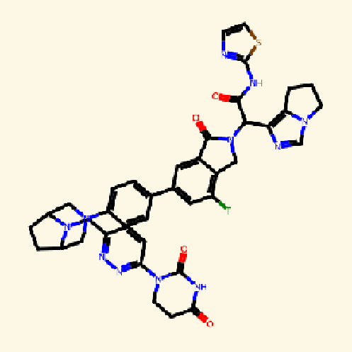 O=C1CCN(c2ccc(CN3C4CCC3CN(c3ccc(-c5cc(F)c6c(c5)C(=O)N(C(C(=O)Nc5nccs5)c5ncn7c5CCC7)C6)cc3)C4)nn2)C(=O)N1